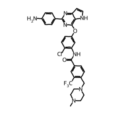 CN1CCN(Cc2ccc(C(=O)Nc3cc(Oc4nc(-c5ccc(N)cc5)nc5cc[nH]c45)ccc3Cl)cc2C(F)(F)F)CC1